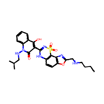 CCCCNCc1nc2c3c(ccc2o1)NC(c1c(O)c2ccccc2n(NCC(C)C)c1=O)=NS3(=O)=O